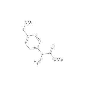 CNCc1ccc(C(C)C(=O)OC)cc1